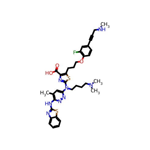 CNCC#Cc1ccc(OCCCc2sc(N(CCCCN(C)C)c3cc(C)c(Nc4nc5ccccc5s4)nn3)nc2C(=O)O)c(F)c1